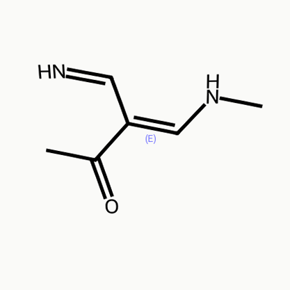 CN/C=C(\C=N)C(C)=O